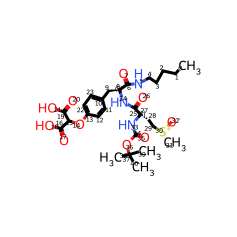 CCCCCNC(=O)[C@H](Cc1ccc(OC(C(=O)O)C(=O)O)cc1)NC(=O)[C@H](CC[S+](C)[O-])NC(=O)OC(C)(C)C